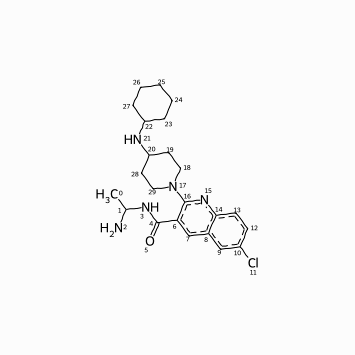 CC(N)NC(=O)c1cc2cc(Cl)ccc2nc1N1CCC(NC2CCCCC2)CC1